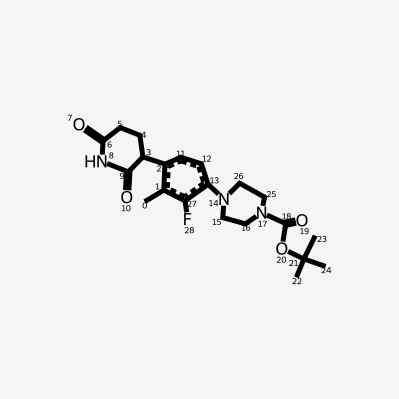 Cc1c(C2CCC(=O)NC2=O)ccc(N2CCN(C(=O)OC(C)(C)C)CC2)c1F